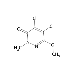 COc1nn(C)c(=O)c(Cl)c1Cl